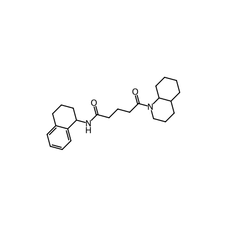 O=C(CCCC(=O)N1CCCC2CCCCC21)NC1CCCc2ccccc21